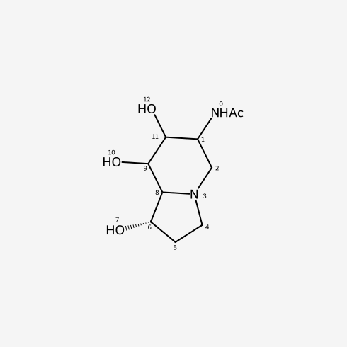 CC(=O)NC1CN2CC[C@H](O)C2C(O)C1O